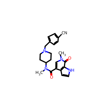 CN(C(=O)c1cn(C)c(=O)c2[nH]ccc12)C1CCN(Cc2ccc(C#N)cc2)CC1